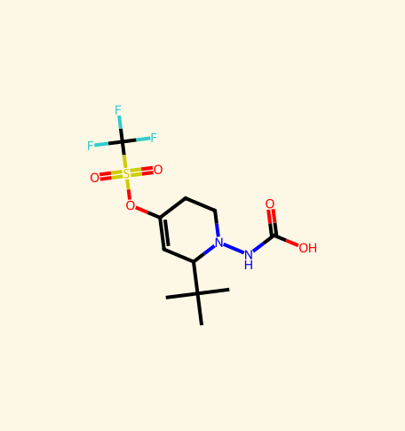 CC(C)(C)C1C=C(OS(=O)(=O)C(F)(F)F)CCN1NC(=O)O